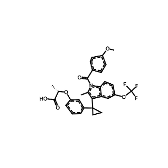 COc1ccc(C(=O)n2c(C)c(C3(c4cccc(O[C@@H](C)C(=O)O)c4)CC3)c3cc(OC(F)(F)F)ccc32)cc1